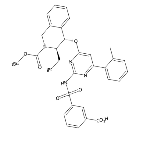 Cc1ccccc1-c1cc(O[C@H]2c3ccccc3CN(C(=O)OC(C)(C)C)[C@@H]2CC(C)C)nc(NS(=O)(=O)c2cccc(C(=O)O)c2)n1